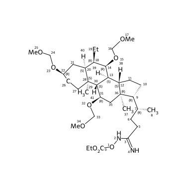 CCOC(=O)ONC(=N)CC[C@@H](C)[C@H]1CC[C@H]2[C@@H]3[C@H](OCOC)[C@H](CC)[C@@H]4C[C@H](OCOC)CC[C@]4(C)[C@H]3[C@H](OCOC)C[C@]12C